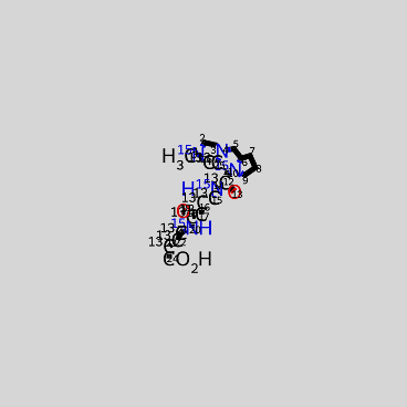 C[15N]1CCN(CC2CCC[15N]2C[13C](=O)[15NH][13CH2][13CH2][13CH2][13C](=O)[15NH][13CH2][13CH2][13CH2][13C](=O)O)[13CH2][13CH2]1